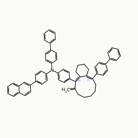 C=C1CCCCC/C(c2ccc(-c3ccccc3)cc2)=C2/CCCC/C2=C/1c1ccc(N(c2ccc(-c3ccccc3)cc2)c2ccc(-c3ccc4ccccc4c3)cc2)cc1